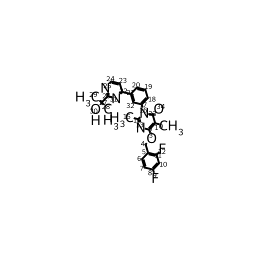 Cc1c(OCc2ccc(F)cc2F)nc(C)n(-c2cccc(-c3ccnc(C(C)(C)O)n3)c2)c1=O